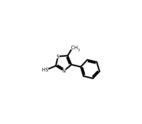 Cc1sc(S)nc1-c1ccccc1